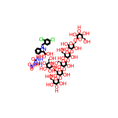 NC(=O)NO.O=C(O)c1nn(Cc2ccc(Cl)cc2Cl)c2ccccc12.O=[N+]([O-])O.OC[C@H]1O[C@@H](OC[C@H]2O[C@@H](O)[C@H](O)[C@@H](O[C@@H]3O[C@H](CO)[C@@H](O)[C@H](O[C@@H]4O[C@H](CO)[C@@H](O)[C@H](O[C@@H]5O[C@H](CO[C@@H]6O[C@H](CO)[C@@H](O)[C@H](O)[C@H]6O)[C@@H](O)[C@H](O[C@@H]6O[C@H](CO)[C@@H](O)[C@H](O)[C@H]6O)[C@H]5O)[C@H]4O)[C@H]3O)[C@@H]2O)[C@H](O)[C@@H](O)[C@@H]1O